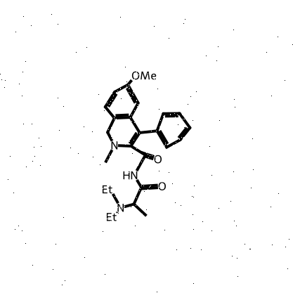 CCN(CC)C(C)C(=O)NC(=O)C1=C(c2ccccc2)c2cc(OC)ccc2CN1C